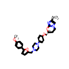 O=[N+]([O-])c1cn2c(n1)O[C@@H](COc1ccc(N3CCN(Cc4ccc(-c5ccc(OC(F)(F)F)cc5)o4)CC3)cc1)CC2